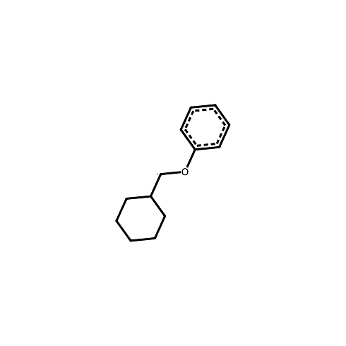 [CH](Oc1ccccc1)C1CCCCC1